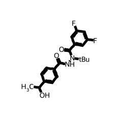 CC(O)c1ccc(C(=O)NN(C(=O)c2cc(F)cc(F)c2)C(C)(C)C)cc1